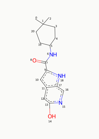 CC1(C)CCC(NC(=O)c2cc3cc(O)ncc3[nH]2)CC1